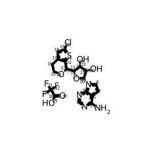 Nc1ncnc2c1ccn2[C@@H]1O[C@H]([C@H]2OCCc3cc(Cl)sc32)[C@@H](O)[C@H]1O.O=C(O)C(F)(F)F